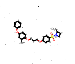 CCCc1cc(Oc2ccccc2)ccc1OCCCOc1ccc(S(=O)(=O)N2CCC2C(=O)O)cc1